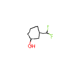 OC1CCCC(C(F)F)C1